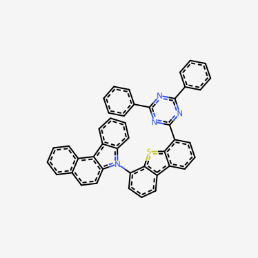 c1ccc(-c2nc(-c3ccccc3)nc(-c3cccc4c3sc3c(-n5c6ccccc6c6c7ccccc7ccc65)cccc34)n2)cc1